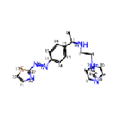 CC(NCC[N+]12CCN(CC1)CC2)c1ccc(N=Nc2nccs2)cc1